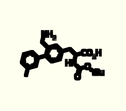 Cc1cccc(-c2ccc(CC(NC(=O)OC(C)(C)C)C(=O)O)cc2CN)c1